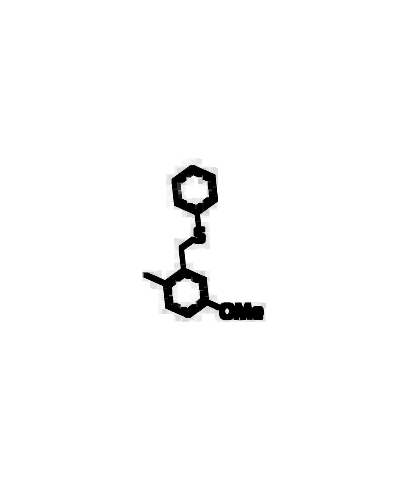 COc1ccc(C)c(CSc2ccccc2)c1